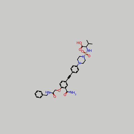 CC(C)[C@@H](NS(=O)(=O)N1CCN(c2ccc(C#Cc3ccc(OCC(=O)NCc4ccccc4)c(C(N)=O)c3)cc2)CC1)C(=O)O